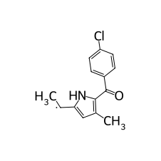 C[CH]c1cc(C)c(C(=O)c2ccc(Cl)cc2)[nH]1